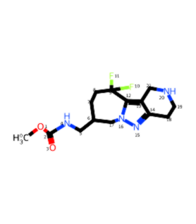 COC(=O)NCC1CCC(F)(F)c2c3c(nn2C1)CCNC3